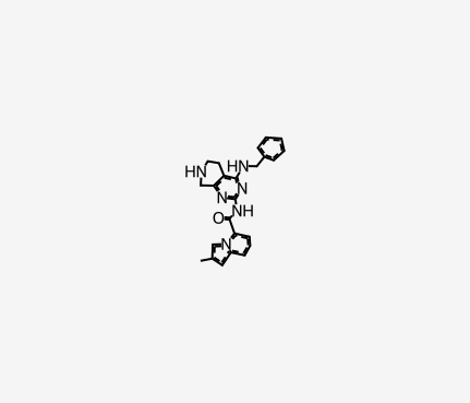 Cc1cc2cccc(C(=O)Nc3nc4c(c(NCc5ccccc5)n3)CCNC4)n2c1